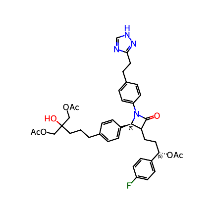 CC(=O)OCC(O)(CCCc1ccc([C@@H]2C(CC[C@H](OC(C)=O)c3ccc(F)cc3)C(=O)N2c2ccc(CCc3nc[nH]n3)cc2)cc1)COC(C)=O